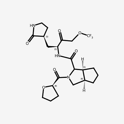 O=C(N[C@@H](C[C@@H]1CCNC1=O)C(=O)COC(F)(F)F)C1[C@H]2CCC[C@H]2CN1C(=O)[C@H]1CCCO1